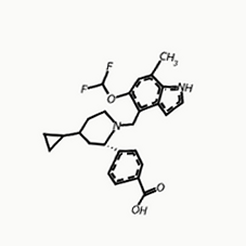 Cc1cc(OC(F)F)c(CN2CCC(C3CC3)C[C@H]2c2ccc(C(=O)O)cc2)c2cc[nH]c12